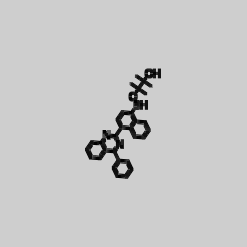 CC(C)(O)C(C)(C)OBc1ccc(-c2nc(-c3ccccc3)c3ccccc3n2)c2ccccc12